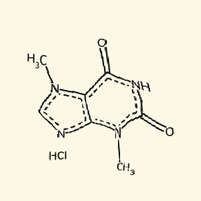 Cl.Cn1cnc2c1c(=O)[nH]c(=O)n2C